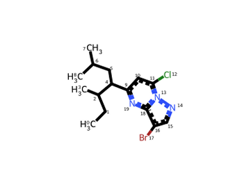 CCC(C)C(CC(C)C)c1cc(Cl)n2ncc(Br)c2n1